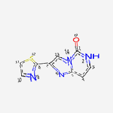 O=c1[nH]ccc2nc(-c3nccs3)cn12